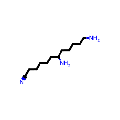 N#CCCCCCC(N)CCCCCN